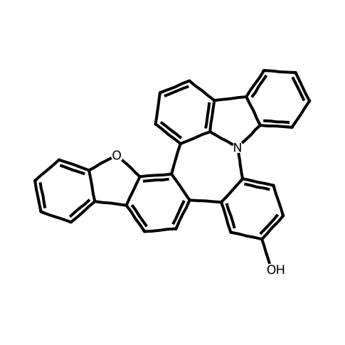 Oc1ccc2c(c1)-c1ccc3c(oc4ccccc43)c1-c1cccc3c4ccccc4n-2c13